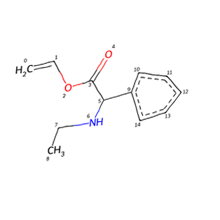 C=COC(=O)C(NCC)c1ccccc1